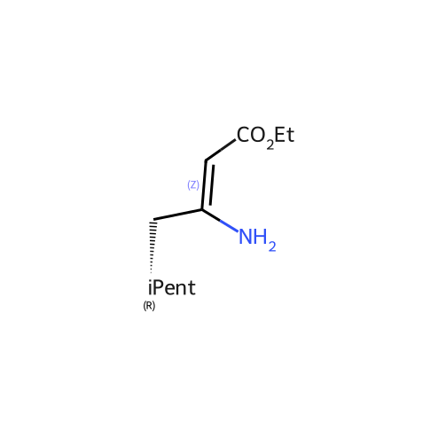 CCC[C@@H](C)C/C(N)=C/C(=O)OCC